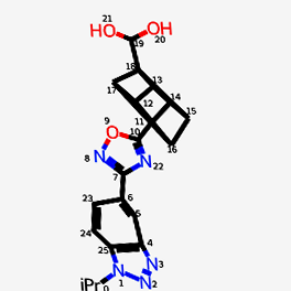 CC(C)n1nnc2cc(-c3noc(C45C6C7C4C4C5C6C74C(O)O)n3)ccc21